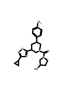 O=C(N1CCC(O)C1)N1CC(c2ccc(C(F)(F)F)cc2)CC(c2nc(C3CC3)no2)C1